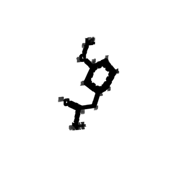 CCOc1cccc(CC([NH])=O)c1